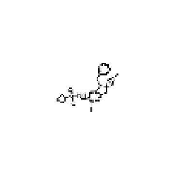 CN1C2C1C21Cc2cc(F)c(CNS(=O)(=O)C3CCC3)cc2C1Cc1ccccc1